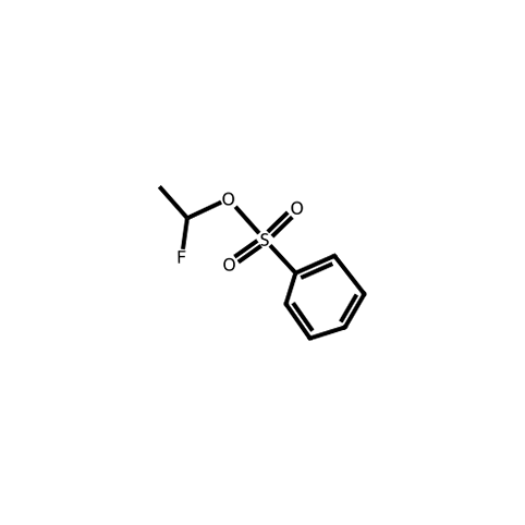 CC(F)OS(=O)(=O)c1ccccc1